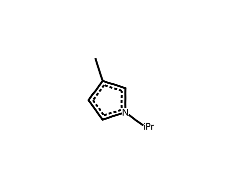 Cc1ccn(C(C)C)c1